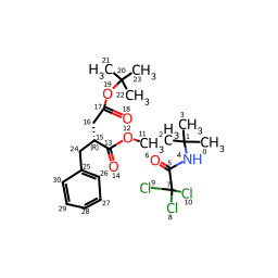 CC(C)(C)NC(=O)C(Cl)(Cl)Cl.COC(=O)[C@@H](CC(=O)OC(C)(C)C)Cc1ccccc1